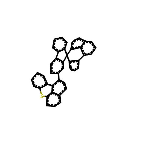 c1ccc2c(c1)Sc1cccc3ccc(-c4ccc5c(c4)C4(c6ccccc6-5)c5ccccc5-c5cccc6cccc4c56)c-2c13